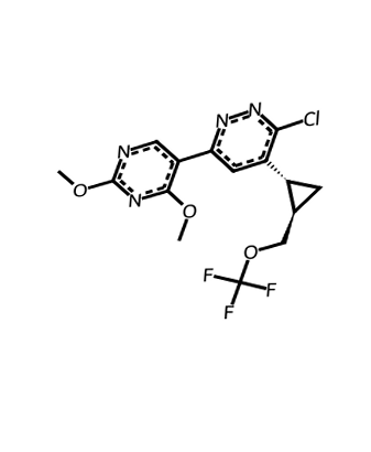 COc1ncc(-c2cc([C@@H]3C[C@H]3COC(F)(F)F)c(Cl)nn2)c(OC)n1